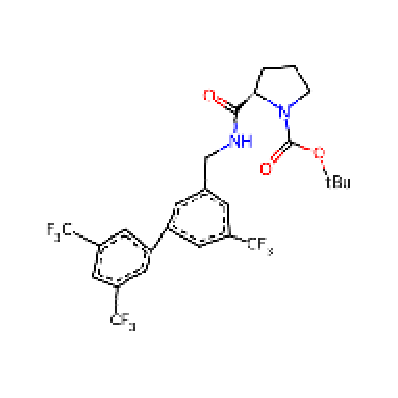 CC(C)(C)OC(=O)N1CCC[C@@H]1C(=O)NCc1cc(-c2cc(C(F)(F)F)cc(C(F)(F)F)c2)cc(C(F)(F)F)c1